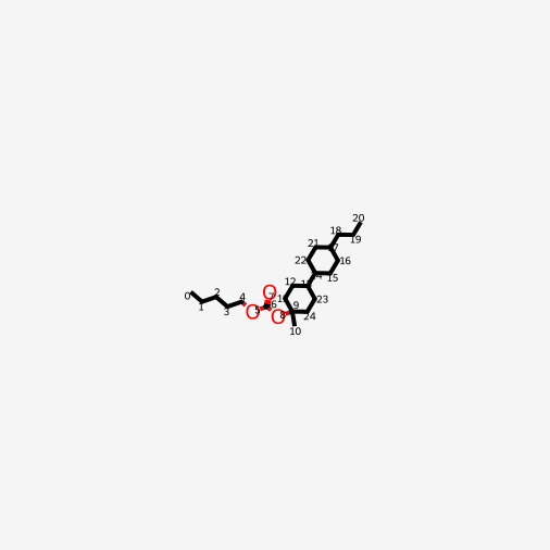 CCCCCOC(=O)OC1(C)CCC(C2CCC(CCC)CC2)CC1